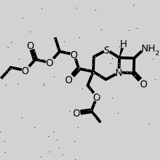 CCOC(=O)OC(C)OC(=O)C1(COC(C)=O)CS[C@@H]2C(N)C(=O)N2C1